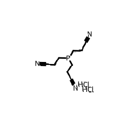 Cl.Cl.N#CCCP(CCC#N)CCC#N